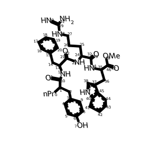 CCCC(Cc1ccc(O)cc1)C(=O)NC(Cc1ccccc1)C(=O)NC(CCCNC(=N)N)C(=O)NC(Cc1c[nH]c2ccccc12)C(=O)OC